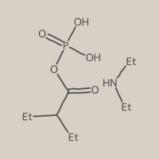 CCC(CC)C(=O)OP(=O)(O)O.CCNCC